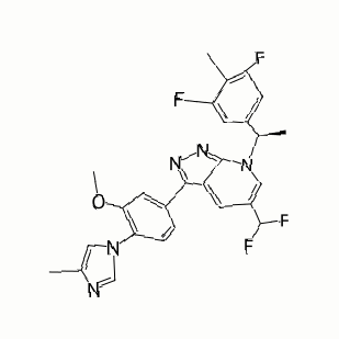 COc1cc(-c2nnc3n([C@H](C)c4cc(F)c(C)c(F)c4)cc(C(F)F)cc2-3)ccc1-n1cnc(C)c1